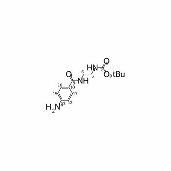 CC(C)(C)OC(=O)NCCNC(=O)c1ccc(N)cc1